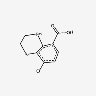 O=C(O)c1ccc(Cl)c2c1NCCS2